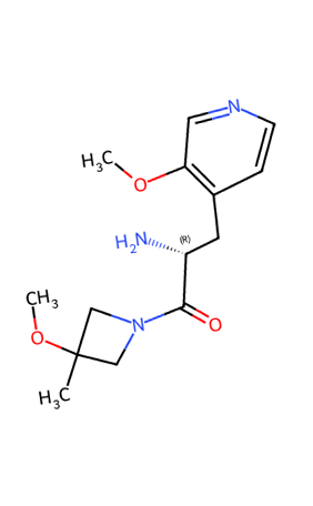 COc1cnccc1C[C@@H](N)C(=O)N1CC(C)(OC)C1